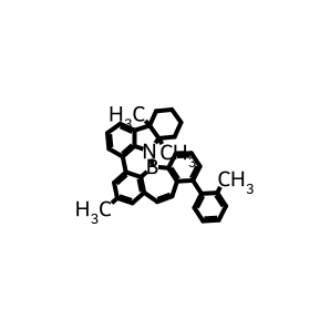 Cc1cc2c3c(c1)-c1cccc4c1N(B3c1cccc(-c3ccccc3C)c1C=C2)C1(C)CCCCC41C